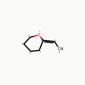 N#CC=C1CCCCO1